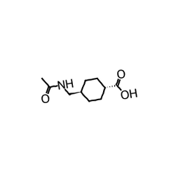 CC(=O)NC[C@H]1CC[C@H](C(=O)O)CC1